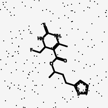 CC1=C(C(=O)OC(C)CCc2cccs2)C(CF)NC(=S)N1